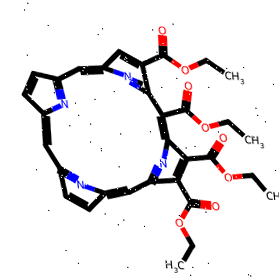 CCOC(=O)C1=CC2=CC3=NC(=CC4=NC(=CC5=NC(=C(C(=O)OCC)C1=N2)C(C(=O)OCC)=C5C(=O)OCC)C=C4)C=C3